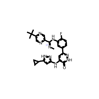 C/N=C(\Nc1cc(-c2cc(Nc3cc(C4CC4)[nH]n3)c(=O)[nH]n2)ccc1F)c1cnc(C(C)(C)C)cn1